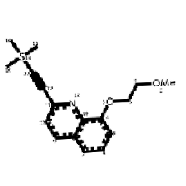 COCCOc1cccc2ccc(C#CS(C)(C)C)nc12